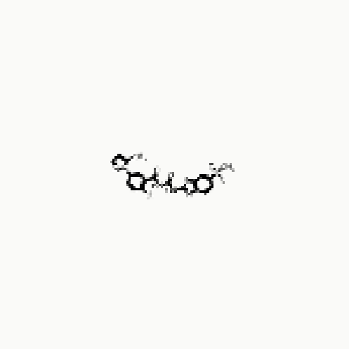 Cc1ccnn1-c1ccc(Cl)c(C(=O)NC(=O)Nc2nc3ccc(S(C)(=O)=O)cc3s2)c1